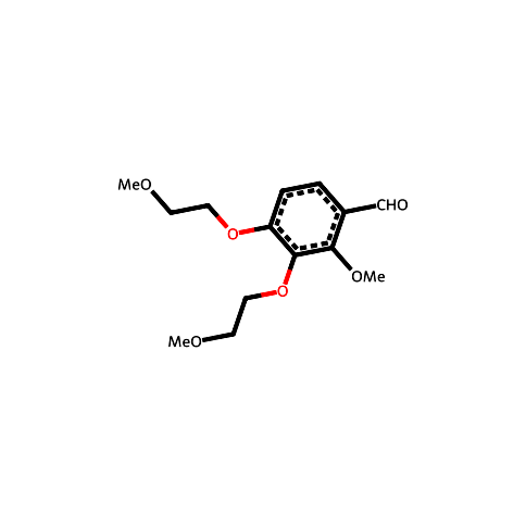 COCCOc1ccc(C=O)c(OC)c1OCCOC